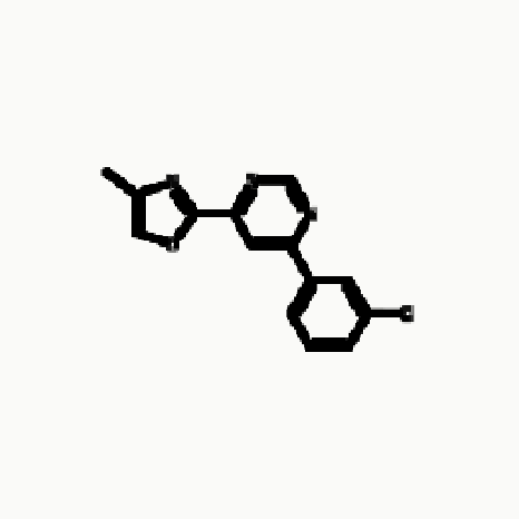 Cc1coc(-c2cc(-c3cccc(Cl)c3)ncn2)n1